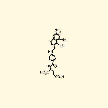 CCCCc1c(CNc2ccc(C(=O)N[C@@H](CCC(=O)O)C(=O)O)cc2)cnc2nc(N)nc(N)c12